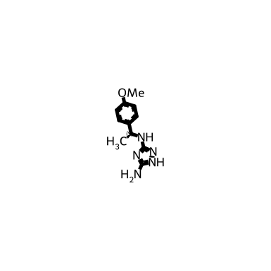 COc1ccc([C@H](C)Nc2n[nH]c(N)n2)cc1